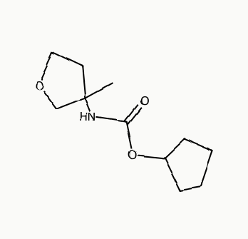 CC1(NC(=O)OC2CCCC2)CCOC1